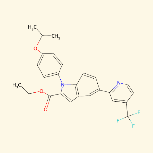 CCOC(=O)c1cc2cc(-c3cc(C(F)(F)F)ccn3)ccc2n1-c1ccc(OC(C)C)cc1